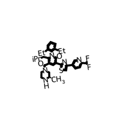 CCc1cccc(CC)c1-n1c(CC(C)C)c(C(=O)N2CCN[C@H](C)C2)cc(-c2nc(-c3ccc(C(F)F)nc3)cs2)c1=O